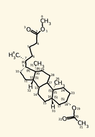 COC(=O)CCC[C@@H](C)[C@H]1CC[C@H]2C3CC[C@H]4C[C@@H](OC(C)=O)CC[C@]4(C)C3CC[C@]12C